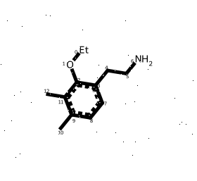 CCOc1c(CCN)ccc(C)c1C